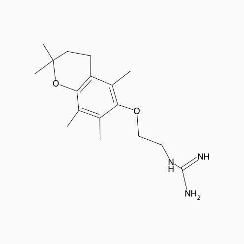 Cc1c(C)c2c(c(C)c1OCCNC(=N)N)CCC(C)(C)O2